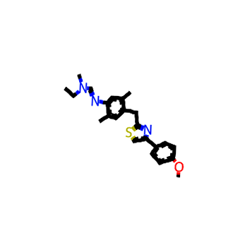 CCN(C)/C=N/c1cc(C)c(Cc2nc(-c3ccc(OC)cc3)cs2)cc1C